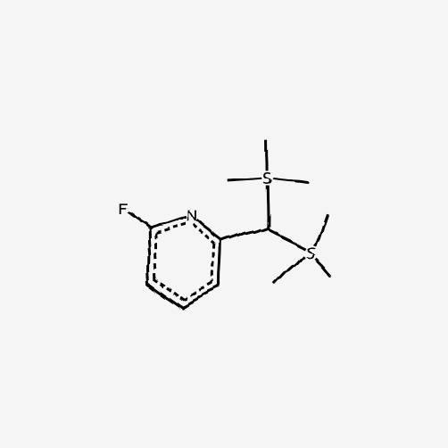 CS(C)(C)C(c1cccc(F)n1)S(C)(C)C